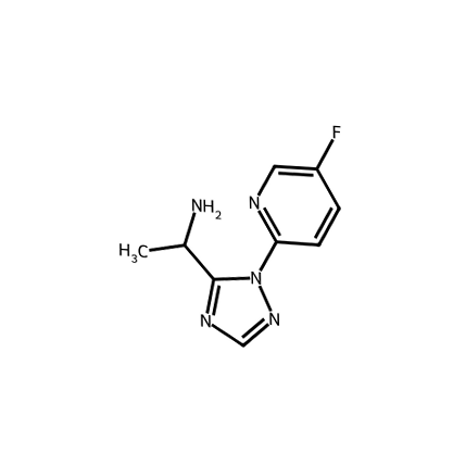 CC(N)c1ncnn1-c1ccc(F)cn1